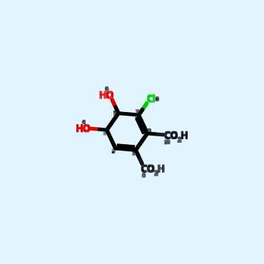 O=C(O)C1=CC(O)C(O)C(Cl)=C1C(=O)O